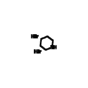 Br.Br.C1CCNCC1